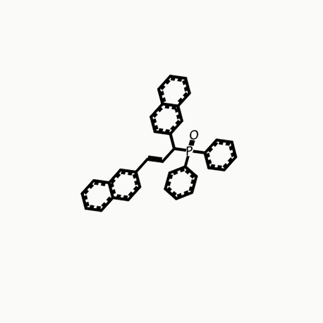 O=P(c1ccccc1)(c1ccccc1)C(/C=C/c1ccc2ccccc2c1)c1ccc2ccccc2c1